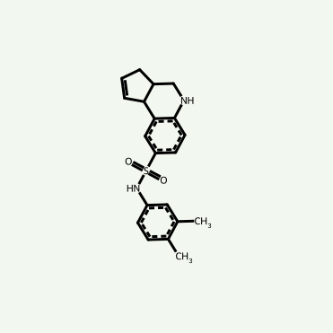 Cc1ccc(NS(=O)(=O)c2ccc3c(c2)C2C=CCC2CN3)cc1C